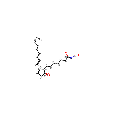 CCCCCCC=C[C@H]1CCC(=O)[C@@H]1CCCCCCC(=O)NO